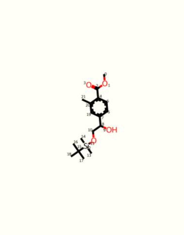 COC(=O)c1ccc(C(O)CO[Si](C)(C)C(C)(C)C)cc1C